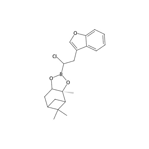 CC1(C)C2CC3OB(C(Cl)Cc4coc5ccccc45)O[C@@]3(C)C1C2